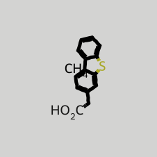 C.O=C(O)Cc1ccc2c(c1)sc1ccccc12